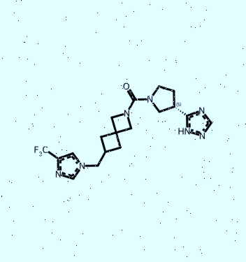 O=C(N1CC[C@H](c2ncn[nH]2)C1)N1CC2(CC(Cn3cnc(C(F)(F)F)c3)C2)C1